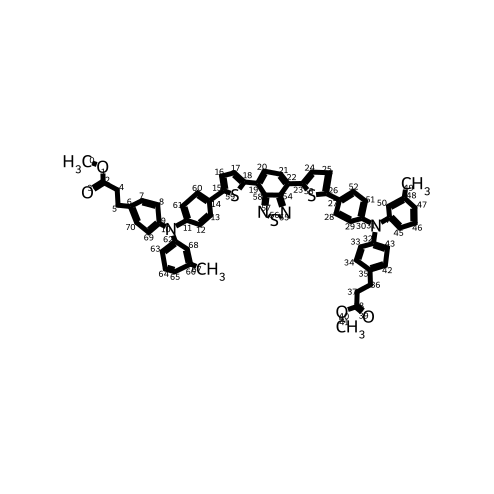 COC(=O)CCc1ccc(N(c2ccc(-c3ccc(-c4ccc(-c5ccc(-c6ccc(N(c7ccc(CCC(=O)OC)cc7)c7cccc(C)c7)cc6)s5)c5nsnc45)s3)cc2)c2cccc(C)c2)cc1